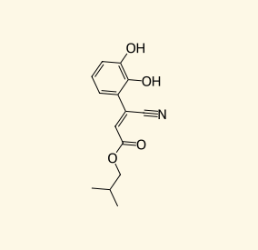 CC(C)COC(=O)C=C(C#N)c1cccc(O)c1O